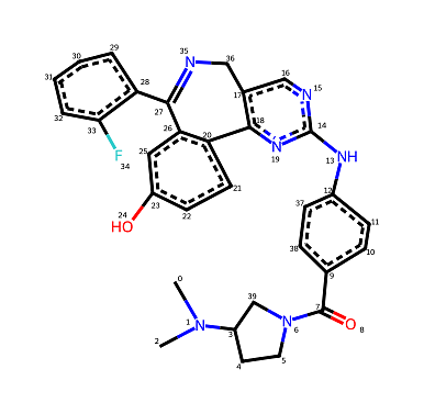 CN(C)C1CCN(C(=O)c2ccc(Nc3ncc4c(n3)-c3ccc(O)cc3C(c3ccccc3F)=NC4)cc2)C1